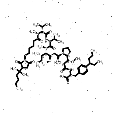 CCCCC(C)(C)C1CC(=O)N(CCCCCC(=O)N(C)[C@H](C(=O)N[C@H](C(=O)N(C)[C@@H]([C@@H](C)CC)[C@@H](CC(=O)N2CCC[C@H]2[C@H](OC)[C@@H](C)C(=O)N[C@@H](Cc2ccc(C(CC)CCC)cc2)C(=O)O)OC)C(C)C)C(C)C)C1=O